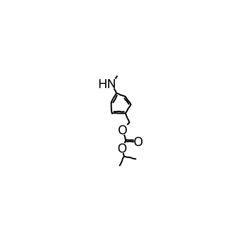 CNc1ccc(COC(=O)OC(C)C)cc1